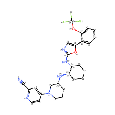 N#Cc1cc(N2CCC[C@H](N[C@@H]3CCCC[C@H]3Nc3ncc(-c4ccccc4OC(F)(F)F)o3)C2)ccn1